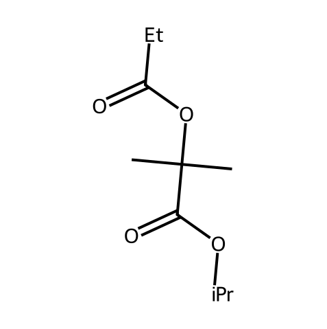 CCC(=O)OC(C)(C)C(=O)OC(C)C